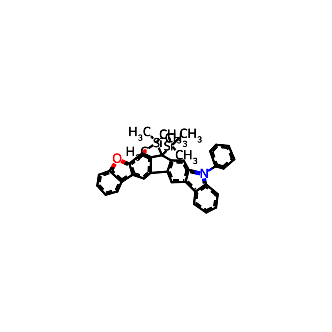 C[Si](C)(C)C1([Si](C)(C)C)c2cc3oc4ccccc4c3cc2-c2cc3c4ccccc4n(-c4ccccc4)c3cc21